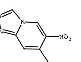 Cc1cc2nncn2cc1[N+](=O)[O-]